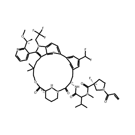 C=CC(=O)N1CC[C@](F)(C(=O)N(C)C(C(=O)N[C@H]2Cc3cc(cc(C(F)F)c3)-c3ccc4c(n3)c(c(-c3cccnc3[C@H](C)OC)n4CC(F)(F)F)CC(C)(C)COC(=O)[C@@H]3CCCN(N3)C2=O)C(C)C)C1